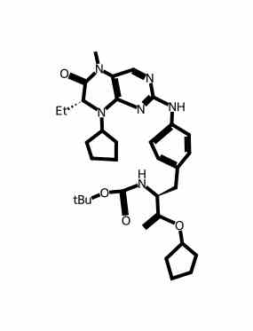 C=C(OC1CCCC1)[C@H](Cc1ccc(Nc2ncc3c(n2)N(C2CCCC2)[C@H](CC)C(=O)N3C)cc1)NC(=O)OC(C)(C)C